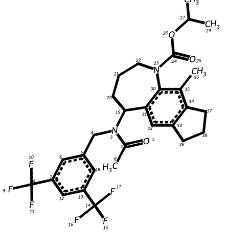 CC(=O)N(Cc1cc(C(F)(F)F)cc(C(F)(F)F)c1)C1CCCN(C(=O)OC(C)C)c2c1cc1c(c2C)CCC1